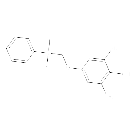 CC(C)(C)c1cc(OC[Si](C)(C)c2ccccc2)cc(C(C)(C)C)c1O